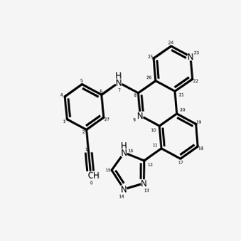 C#Cc1cccc(Nc2nc3c(-c4nnc[nH]4)cccc3c3cnccc23)c1